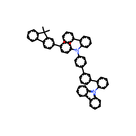 CC1(C)c2ccccc2-c2ccc(-c3ccc(N(c4ccc(-c5cccc(-c6ccccc6-n6c7ccccc7c7ccccc76)c5)cc4)c4ccccc4-c4ccccc4)cc3)cc21